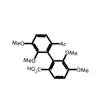 COc1ccc(C(C)=O)c(-c2c(C(=O)O)ccc(OC)c2OC)c1OC